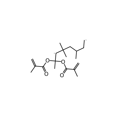 [CH2]CC(C)CC(C)(C)[CH]C(C)(OC(=O)C(=C)C)OC(=O)C(=C)C